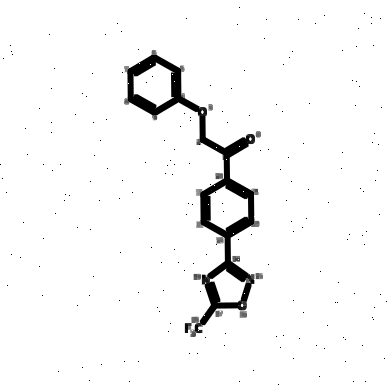 O=C(COc1ccccc1)c1ccc(-c2noc(C(F)(F)F)n2)cc1